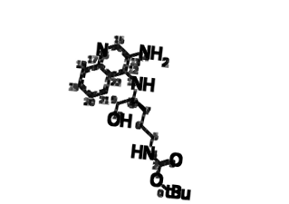 CC(C)(C)OC(=O)NCCC[C@@H](CO)Nc1c(N)cnc2ccccc12